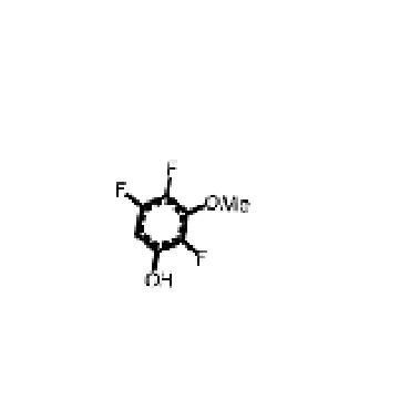 COc1c(F)c(O)cc(F)c1F